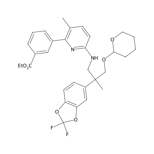 CCOC(=O)c1cccc(-c2nc(NCC(C)(COC3CCCCO3)c3ccc4c(c3)OC(F)(F)O4)ccc2C)c1